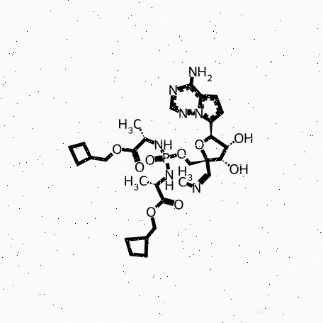 C/N=C\[C@]1(COP(=O)(N[C@@H](C)C(=O)OCC2CCC2)N[C@@H](C)C(=O)OCC2CCC2)O[C@@H](c2ccc3c(N)ncnn23)[C@H](O)[C@@H]1O